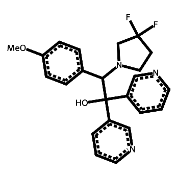 COc1ccc(C(N2CCC(F)(F)C2)C(O)(c2cccnc2)c2cccnc2)cc1